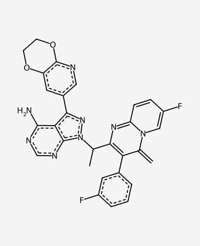 C=C1C(c2cccc(F)c2)=C(C(C)n2nc(-c3cnc4c(c3)OCCO4)c3c(N)ncnc32)N=C2C=CC(F)=CN12